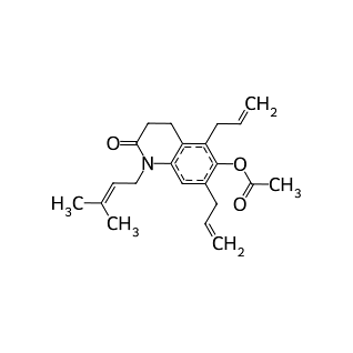 C=CCc1cc2c(c(CC=C)c1OC(C)=O)CCC(=O)N2CC=C(C)C